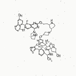 CCc1cccc2cc(O)cc(-c3ncc4c(N5CC6CCC(C5)N6)nc(OCCC5CC(CN6CC(Oc7cc(C(C)(C)CC(=O)[C@]8(C(=O)N[C@@H](C)c9ccc(-c%10scnc%10C)cc9)CC(O)CN8)on7)C6)CCN5)nc4c3F)c12